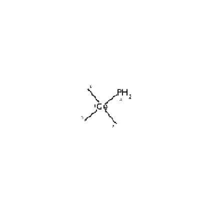 [CH3][Ge]([CH3])([CH3])[PH2]